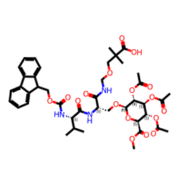 COC(=O)[C@H]1O[C@@H](OC[C@H](NC(=O)[C@@H](NC(=O)OCC2c3ccccc3-c3ccccc32)C(C)C)C(=O)NCOCC(C)(C)C(=O)O)[C@H](OC(C)=O)[C@@H](OC(C)=O)[C@@H]1OC(C)=O